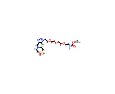 CC(C)(C)OC(=O)NCCOCCOCCOCCn1nnc(CN2CCS(=O)(=O)CC2)c1Cl